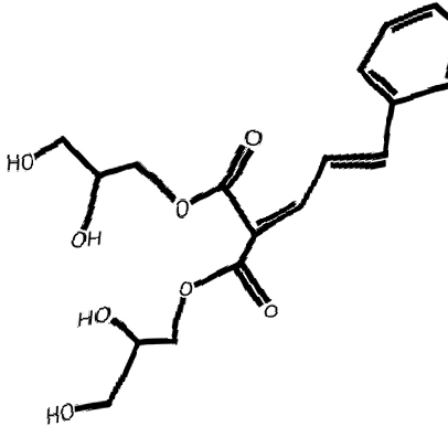 O=C(OCC(O)CO)C(=C/C=C/c1ccccc1)C(=O)OCC(O)CO